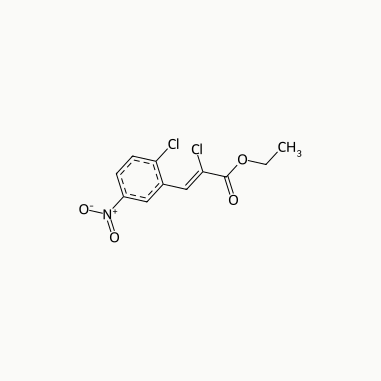 CCOC(=O)/C(Cl)=C/c1cc([N+](=O)[O-])ccc1Cl